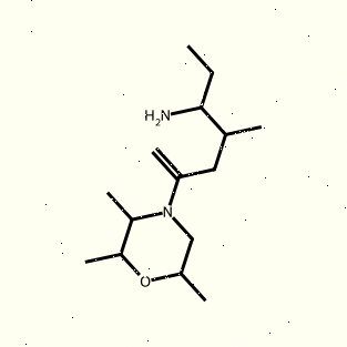 C=C(CC(C)C(N)CC)N1CC(C)OC(C)C1C